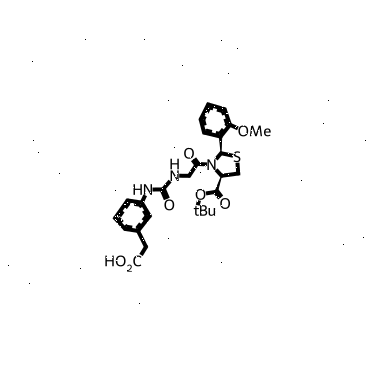 COc1ccccc1[C@H]1SC[C@@H](C(=O)OC(C)(C)C)N1C(=O)CNC(=O)Nc1cccc(CC(=O)O)c1